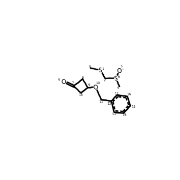 CSC[S+](C)[O-].O=C1CC(OCc2ccccc2)C1